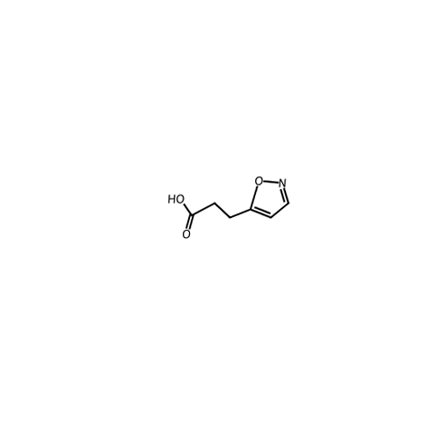 O=C(O)CCc1ccno1